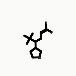 CC(C)(C)C(CC=C(F)F)C1CCOC1